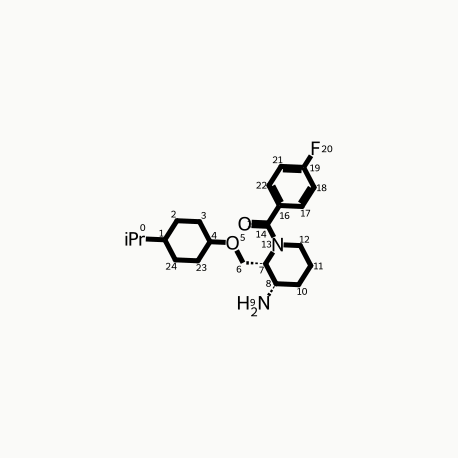 CC(C)C1CCC(OC[C@H]2[C@@H](N)CCCN2C(=O)c2ccc(F)cc2)CC1